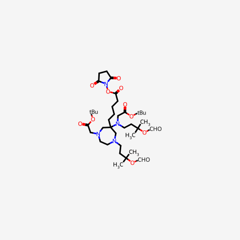 CC(C)(C)OC(=O)CN1CCN(CCC(C)(C)OC=O)CC(CCCCC(=O)ON2C(=O)CCC2=O)(N(CCC(C)(C)OC=O)CC(=O)OC(C)(C)C)C1